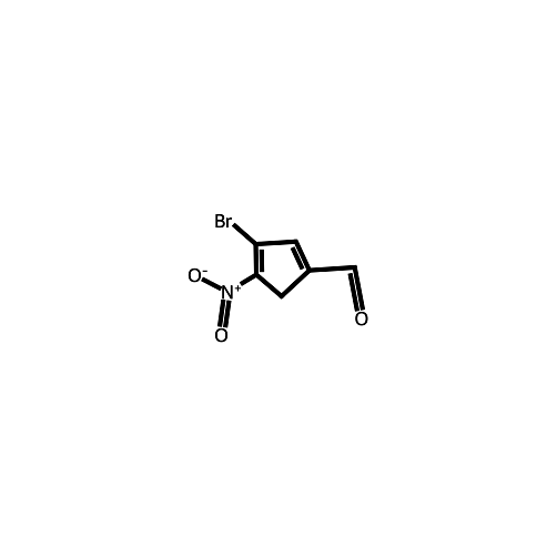 O=CC1=CC(Br)=C([N+](=O)[O-])C1